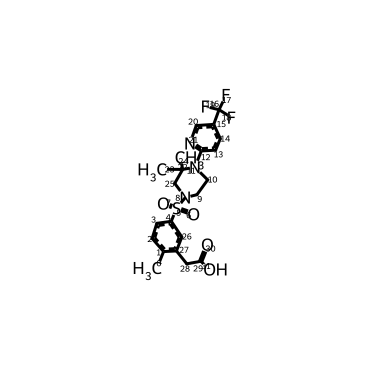 Cc1ccc(S(=O)(=O)N2CCN(c3ccc(C(F)(F)F)cn3)C(C)(C)C2)cc1CC(=O)O